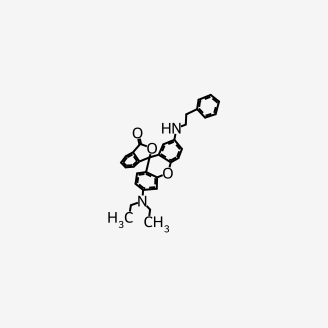 CCN(CC)c1ccc2c(c1)Oc1ccc(NCCc3ccccc3)cc1C21OC(=O)c2ccccc21